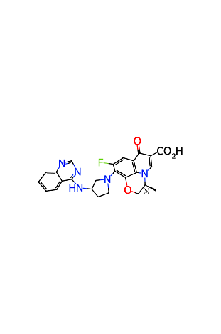 C[C@H]1COc2c(N3CCC(Nc4ncnc5ccccc45)C3)c(F)cc3c(=O)c(C(=O)O)cn1c23